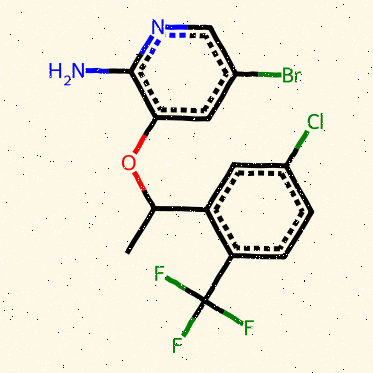 CC(Oc1cc(Br)cnc1N)c1cc(Cl)ccc1C(F)(F)F